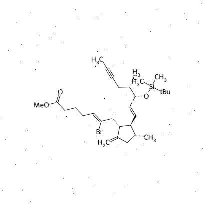 C=C1C[C@@H](C)[C@H](/C=C/[C@@H](O[Si](C)(C)C(C)(C)C)[C@@H](C)CC#CC)[C@H]1C/C(Br)=C/CCCC(=O)OC